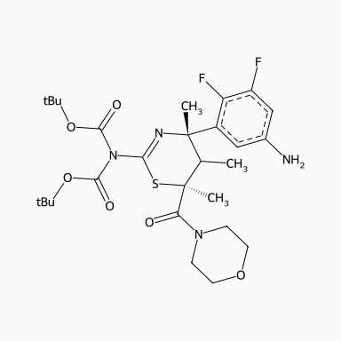 CC1[C@@](C)(C(=O)N2CCOCC2)SC(N(C(=O)OC(C)(C)C)C(=O)OC(C)(C)C)=N[C@]1(C)c1cc(N)cc(F)c1F